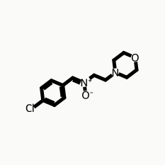 [O-][N+](=Cc1ccc(Cl)cc1)CCN1CCOCC1